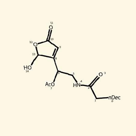 CCCCCCCCCCCC(=O)NCC(OC(C)=O)C1=CC(=O)OC1O